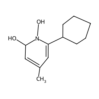 CC1=CC(O)N(O)C(C2CCCCC2)=C1